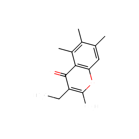 Cc1cc2oc(C(=O)O)c(CC(=O)O)c(=O)c2c(C)c1C